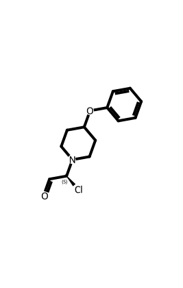 O=C[C@H](Cl)N1CCC(Oc2ccccc2)CC1